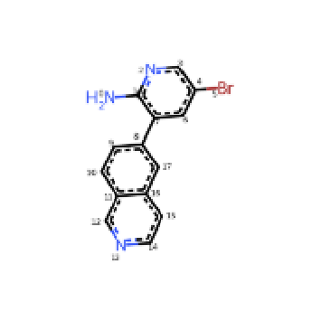 Nc1ncc(Br)cc1-c1ccc2cnccc2c1